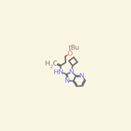 C=C(CCOC(C)(C)C)Nc1nc2cccnc2n1C1CCC1